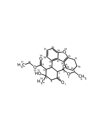 CCOC(=O)C1C(=O)CC(C)(O)C(C(=O)OCC)C1c1cccc2oc3c(c12)CCCC3